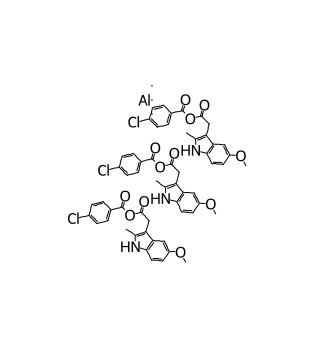 COc1ccc2[nH]c(C)c(CC(=O)OC(=O)c3ccc(Cl)cc3)c2c1.COc1ccc2[nH]c(C)c(CC(=O)OC(=O)c3ccc(Cl)cc3)c2c1.COc1ccc2[nH]c(C)c(CC(=O)OC(=O)c3ccc(Cl)cc3)c2c1.[Al]